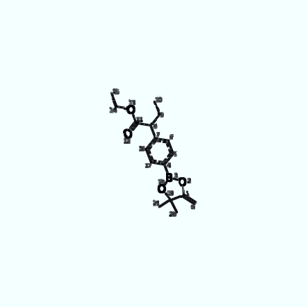 C=C1OB(c2ccc(C(CC)C(=O)OCC)cc2)OC1(C)C